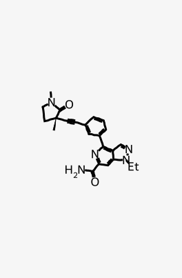 CCn1ncc2c(-c3cccc(C#C[C@]4(C)CCN(C)C4=O)c3)nc(C(N)=O)cc21